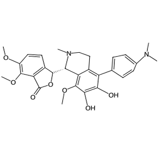 COc1ccc2c(c1OC)C(=O)OC2[C@H]1c2c(c(-c3ccc(N(C)C)cc3)c(O)c(O)c2OC)CCN1C